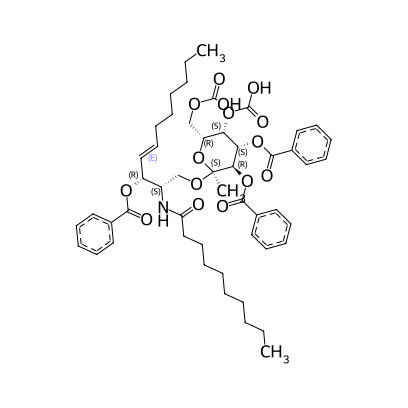 CCCCCC/C=C/[C@@H](OC(=O)c1ccccc1)[C@H](CO[C@@]1(C)O[C@H](COC(=O)O)[C@H](OC(=O)O)[C@H](OC(=O)c2ccccc2)[C@H]1OC(=O)c1ccccc1)NC(=O)CCCCCCCCC